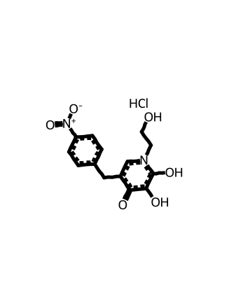 Cl.O=c1c(Cc2ccc([N+](=O)[O-])cc2)cn(CCO)c(O)c1O